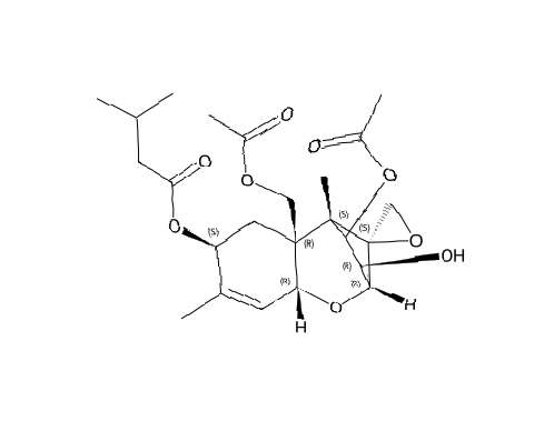 CC(=O)OC[C@]12C[C@H](OC(=O)CC(C)C)C(C)=C[C@H]1O[C@@H]1[C@H](O)C(OC(C)=O)[C@@]2(C)[C@]12CO2